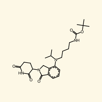 CC(C)N(CCCCNC(=O)OC(C)(C)C)c1cccc2c1CN(C1CCC(=O)NC1=O)C2=O